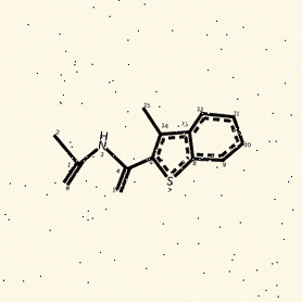 C=C(C)NC(=C)c1sc2ccccc2c1C